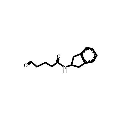 O=CCCCC(=O)NC1Cc2ccccc2C1